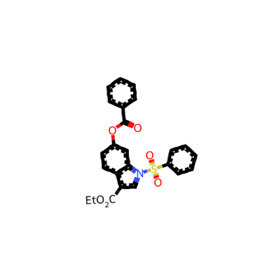 CCOC(=O)c1cn(S(=O)(=O)c2ccccc2)c2cc(OC(=O)c3ccccc3)ccc12